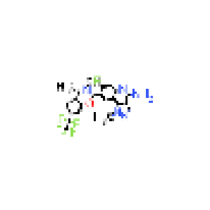 C[C@H](c1ccc(C(F)(F)C(F)(F)F)cc1)N(C)C(=O)c1cc2c(cc1F)nc(N)c1cnn(C)c12